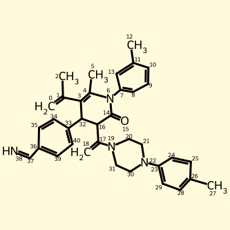 C=C(C)C1=C(C)N(c2cccc(C)c2)C(=O)C(C(=C)N2CCN(c3ccc(C)cc3)CC2)C1c1ccc(C=N)cc1